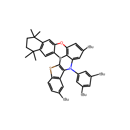 CC(C)(C)c1cc(N2c3cc(C(C)(C)C)cc4c3B(c3cc5c(cc3O4)C(C)(C)CCC5(C)C)c3sc4ccc(C(C)(C)C)cc4c32)cc(C(C)(C)C)c1